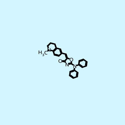 CN1CCCc2cc(/C=C3/OC(N(c4ccccc4)c4ccccc4)=NC3=O)ccc21